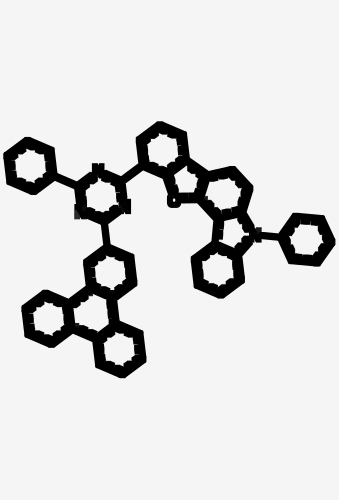 c1ccc(-c2nc(-c3ccc4c5ccccc5c5ccccc5c4c3)nc(-c3cccc4c3oc3c4ccc4c3c3ccccc3n4-c3ccccc3)n2)cc1